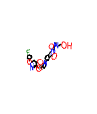 CN(CCO)C(=O)CN1Cc2ccc(N3CC[C@@H](Oc4ccc(Oc5ccc(F)cc5)nc4)C3=O)cc2C1=O